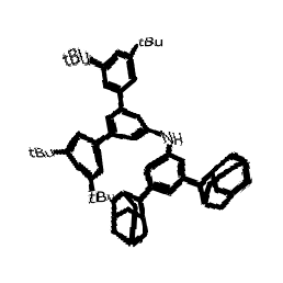 CC(C)(C)c1cc(-c2cc(Nc3cc(C4C5CC6CC(C5)CC4C6)cc(C4C5CC6CC(C5)CC4C6)c3)cc(-c3cc(C(C)(C)C)cc(C(C)(C)C)c3)c2)cc(C(C)(C)C)c1